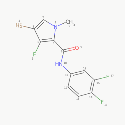 Cn1cc(S)c(F)c1C(=O)Nc1ccc(F)c(F)c1